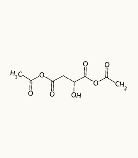 CC(=O)OC(=O)CC(O)C(=O)OC(C)=O